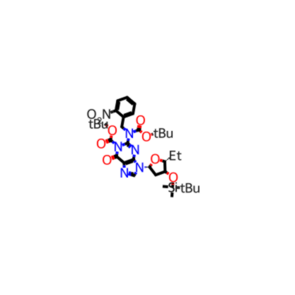 CC[C@H]1O[C@@H](n2cnc3c(=O)n(C(=O)OC(C)(C)C)c(N(Cc4ccccc4[N+](=O)[O-])C(=O)OC(C)(C)C)nc32)CC1O[Si](C)(C)C(C)(C)C